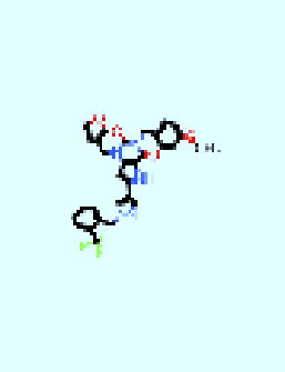 COc1ccc(Cn2c(=O)c3[nH]c(-c4cnn(Cc5ccccc5C(F)(F)F)c4)cc3n(Cc3ccoc3)c2=O)cc1